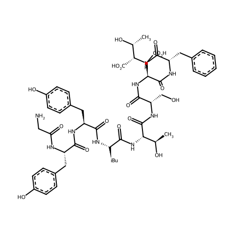 CC[C@H](C)[C@H](NC(=O)[C@H](Cc1ccc(O)cc1)NC(=O)[C@H](Cc1ccc(O)cc1)NC(=O)CN)C(=O)N[C@H](C(=O)N[C@@H](CO)C(=O)N[C@@H](CC(=O)O)C(=O)N[C@@H](Cc1ccccc1)C(=O)N[C@H](C(=O)O)[C@@H](C)O)[C@@H](C)O